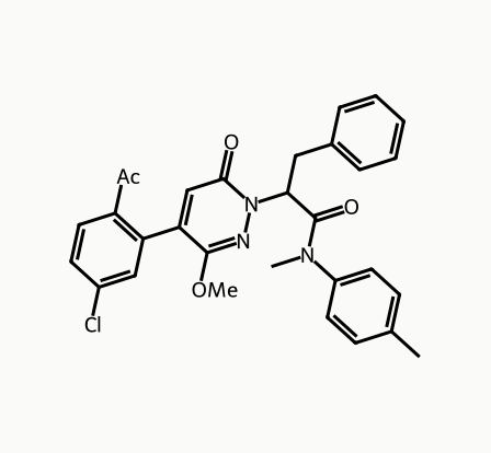 COc1nn(C(Cc2ccccc2)C(=O)N(C)c2ccc(C)cc2)c(=O)cc1-c1cc(Cl)ccc1C(C)=O